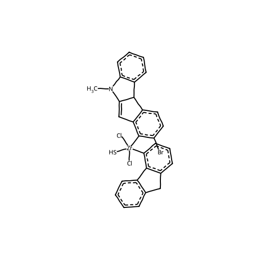 CN1C2=Cc3c(ccc(Br)[c]3[Zr]([SH])([Cl])([Cl])[c]3cccc4c3-c3ccccc3C4)C2c2ccccc21